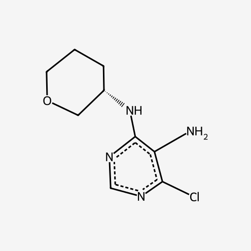 Nc1c(Cl)ncnc1N[C@H]1CCCOC1